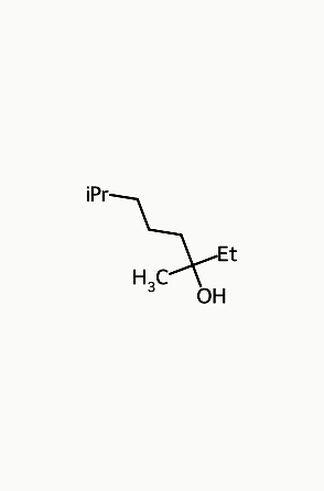 CCC(C)(O)CCCC(C)C